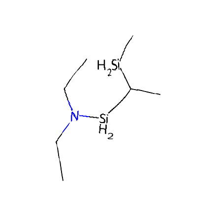 CCN(CC)[SiH2]C(C)[SiH2]C